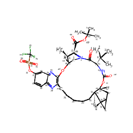 C[C@@H]1[C@@H]2CN(C(=O)[C@H](C(C)(C)C)NC(=O)O[C@@H]3CC4C[C@@H]4[C@H]3CCCCCc3nc4ccc(OS(=O)(=O)C(F)(F)F)cc4nc3O2)[C@@H]1C(=O)OC(C)(C)C